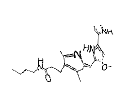 CCCCNC(=O)CCC1=C(C)/C(=C/c2[nH]c(-c3ccc[nH]3)cc2OC)N=C1C